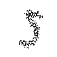 CNc1cc(=O)n(-c2ccnc3c2cc([C@H](C)N2CC=C(c4c(C)cc(C(=O)N5CCn6nc(CN7CCC(c8ccc(N[C@@H]9CCC(=O)NC9=O)cc8F)CC7)cc6C5)cc4F)CC2)n3C)cc1F